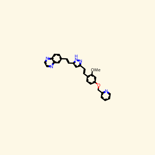 COc1cc(OCc2ccccn2)ccc1C=Cc1cc(C=Cc2ccc3nccnc3c2)[nH]n1